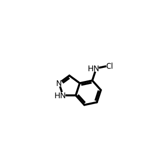 ClNc1cccc2[nH]ncc12